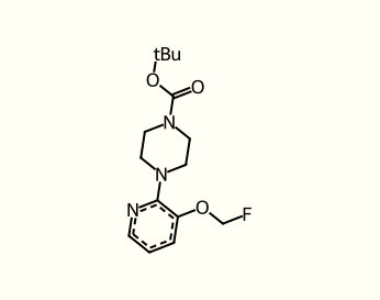 CC(C)(C)OC(=O)N1CCN(c2ncccc2OCF)CC1